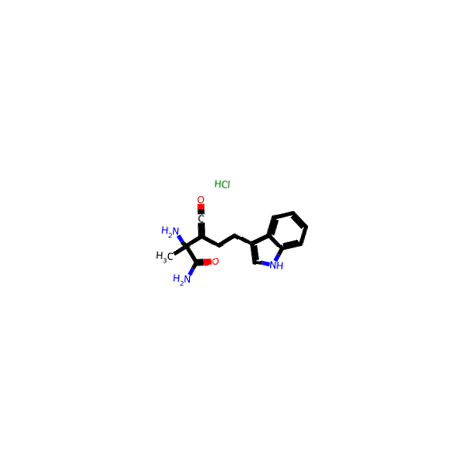 CC(N)(C(N)=O)C(=C=O)CCc1c[nH]c2ccccc12.Cl